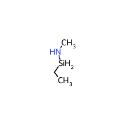 CC[SiH2]NC